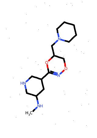 CNC1CNCC(C2=NOCC(CN3CCCCC3)O2)C1